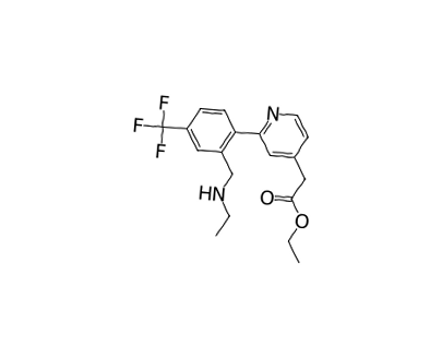 CCNCc1cc(C(F)(F)F)ccc1-c1cc(CC(=O)OCC)ccn1